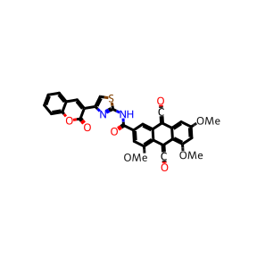 COc1cc(OC)c2c(=C=O)c3c(OC)cc(C(=O)Nc4nc(-c5cc6ccccc6oc5=O)cs4)cc3c(=C=O)c2c1